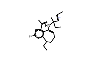 C=C(C)c1cc(F)cc2c1C(NC(C)(/C=C/C)CC)=CCCC2CC